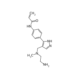 C=CC(=O)Nc1ccc(-c2[nH]ncc2CN(C)CCN)cc1